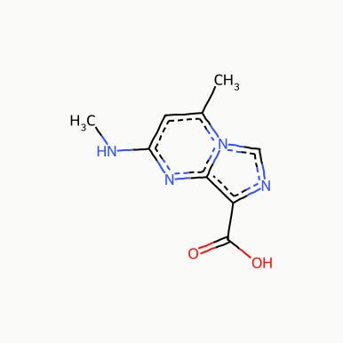 CNc1cc(C)n2cnc(C(=O)O)c2n1